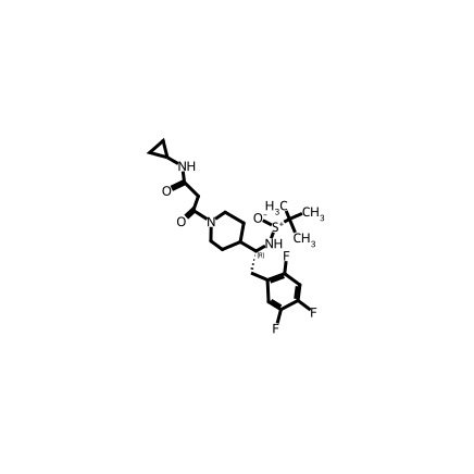 CC(C)(C)[S+]([O-])N[C@H](Cc1cc(F)c(F)cc1F)C1CCN(C(=O)CC(=O)NC2CC2)CC1